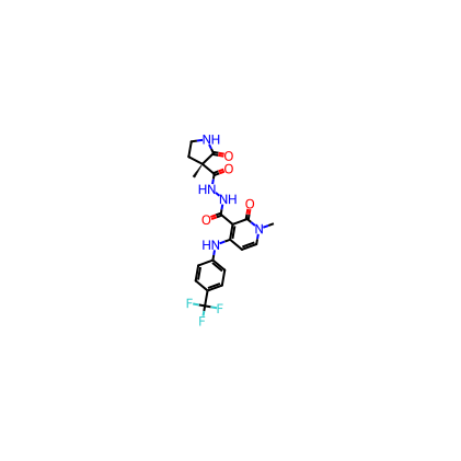 Cn1ccc(Nc2ccc(C(F)(F)F)cc2)c(C(=O)NNC(=O)[C@]2(C)CCNC2=O)c1=O